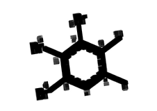 Cc1cc(Br)c(Br)c(Br)c1C